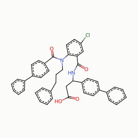 O=C(O)CC(NC(=O)c1cc(Cl)ccc1N(CCCc1ccccc1)C(=O)c1ccc(-c2ccccc2)cc1)c1ccc(-c2ccccc2)cc1